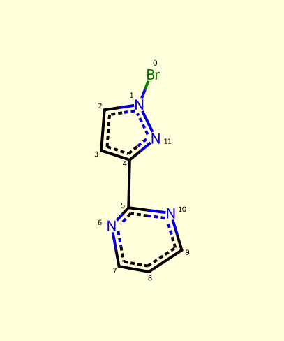 Brn1ccc(-c2ncccn2)n1